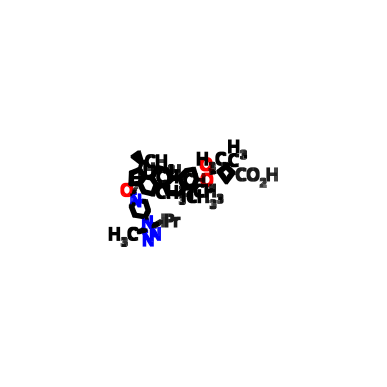 Cc1nnc(C(C)C)n1C1CCN(C(=O)[C@]23CC[C@@H](C4(C)CC4)[C@@H]2[C@H]2CC[C@@H]4[C@@]5(C)CC[C@H](OC(=O)[C@H]6C[C@@H](C(=O)O)C6(C)C)C(C)(C)[C@@H]5CC[C@@]4(C)[C@]2(C)CC3)CC1